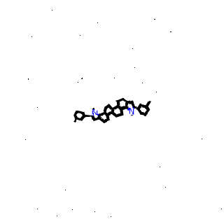 Cc1cccc(-c2cc3ccc4c5ccc6c(ccc7cc(-c8cccc(C)c8)n(C)c76)c5ccc4c3n2C)c1